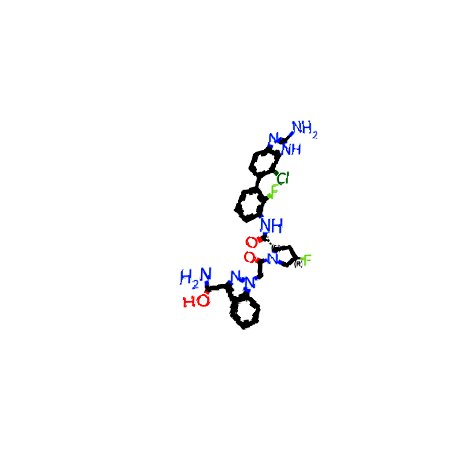 Nc1nc2ccc(-c3cccc(NC(=O)[C@@H]4C[C@@H](F)CN4C(=O)Cn4nc(C(N)O)c5ccccc54)c3F)c(Cl)c2[nH]1